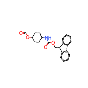 O=COC1CCC(NC(=O)OCC2c3ccccc3-c3ccccc32)CC1